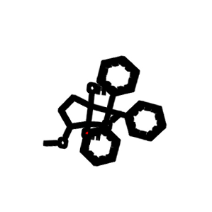 COC1CCC(O)(C(c2ccccc2)(c2ccccc2)c2ccccc2)C1(O)OC